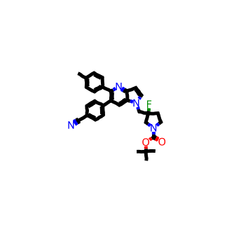 Cc1ccc(-c2nc3ccn(CC4(F)CCN(C(=O)OC(C)(C)C)C4)c3cc2-c2ccc(C#N)cc2)cc1